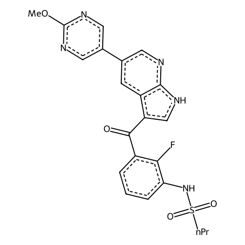 CCCS(=O)(=O)Nc1cccc(C(=O)c2c[nH]c3ncc(-c4cnc(OC)nc4)cc23)c1F